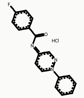 Cl.O=C(N=c1ccn(-c2ccccc2)nc1)c1ccc(F)cc1